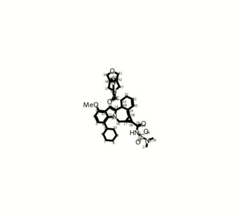 COc1ccc(C2CCCCC2)c2c1cc1n2CC2=C(C(=O)NS(=O)(=O)N(C)C)C2=C2C=CC[C@@H](C(=O)N3CC45COCC4(CN(C(C)=O)C5)C3)C21